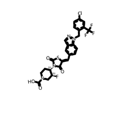 O=C(O)N1CC[C@H](N2C(=O)SC(=Cc3ccc4c(cnn4Cc4ccc(Cl)cc4C(F)(F)F)c3)C2=O)[C@@H](F)C1